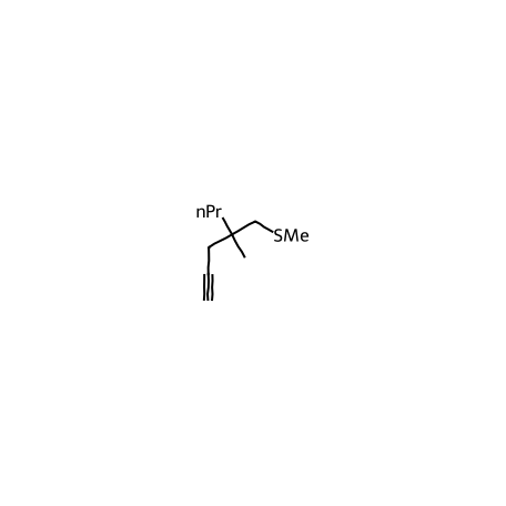 C#CCC(C)(CCC)CSC